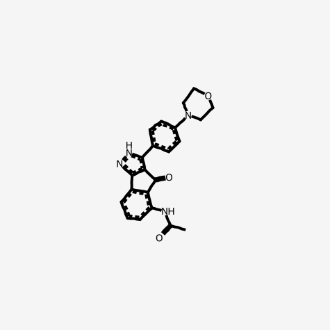 CC(=O)Nc1cccc2c1C(=O)c1c-2n[nH]c1-c1ccc(N2CCOCC2)cc1